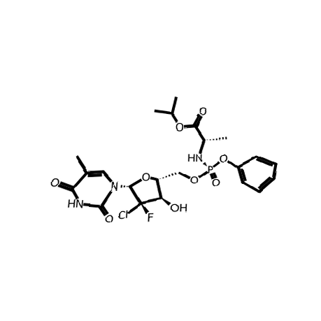 Cc1cn([C@@H]2O[C@H](CO[P@@](=O)(N[C@@H](C)C(=O)OC(C)C)Oc3ccccc3)[C@@H](O)[C@]2(F)Cl)c(=O)[nH]c1=O